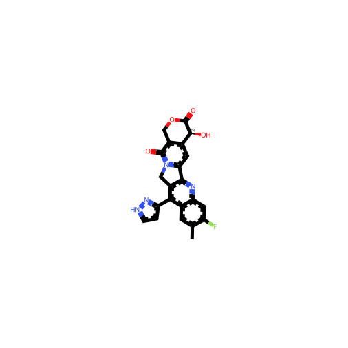 Cc1cc2c(-c3cc[nH]n3)c3c(nc2cc1F)-c1cc2c(c(=O)n1C3)COC(=O)[C@H]2O